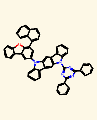 c1ccc(-c2nc(-c3ccccc3)nc(-n3c4ccccc4c4cc5c(cc43)c3ccccc3n5-c3cc(-c4cccc5ccccc45)c4oc5ccccc5c4c3)n2)cc1